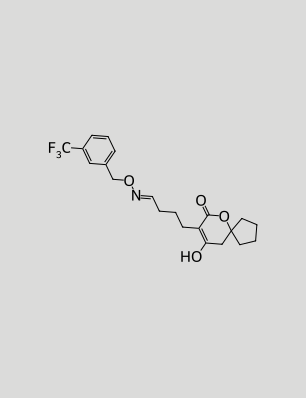 O=C1OC2(CCCC2)CC(O)=C1CCCC=NOCc1cccc(C(F)(F)F)c1